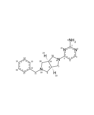 Nc1nccc(N2C[C@H]3CN(Cc4ccccc4)C[C@H]3C2)n1